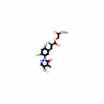 COC(=O)COC(=O)/C(Cl)=C/c1cc(-n2ncc(C(F)(F)F)c(C)c2=O)c(F)cc1Cl